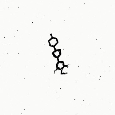 CC1CCC(c2ccc(-c3cc(F)c(CF)c(F)c3)cc2)CC1